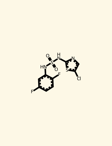 O=S(=O)(Nc1ncc(Cl)s1)Nc1cc(F)ccc1F